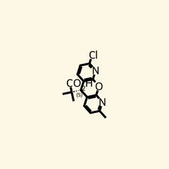 Cc1ccc2c(n1)Oc1nc(Cl)ccc1[C@H]2C(C)(C)C(=O)O